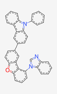 c1ccc(-n2c3ccccc3c3cc(-c4ccc5oc6cccc(-n7cnc8ccccc87)c6c5c4)ccc32)cc1